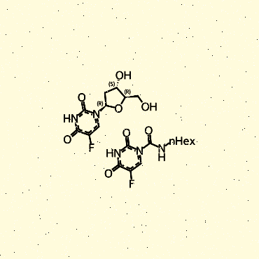 CCCCCCNC(=O)n1cc(F)c(=O)[nH]c1=O.O=c1[nH]c(=O)n([C@H]2C[C@H](O)[C@@H](CO)O2)cc1F